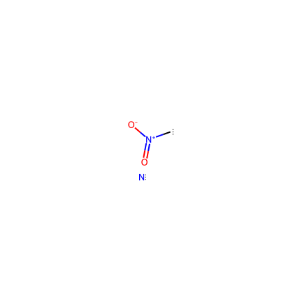 [C][N+](=O)[O-].[N]